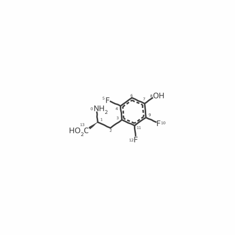 N[C@@H](Cc1c(F)cc(O)c(F)c1F)C(=O)O